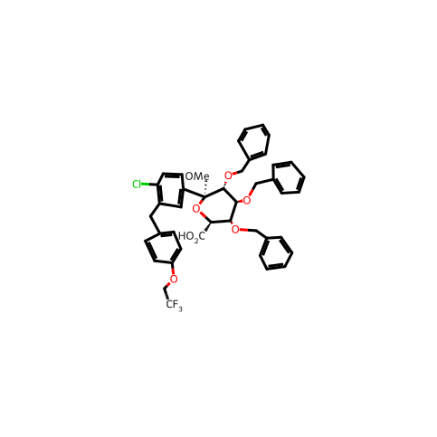 CO[C@@]1(c2ccc(Cl)c(Cc3ccc(OCC(F)(F)F)cc3)c2)O[C@H](C(=O)O)[C@@H](OCc2ccccc2)[C@H](OCc2ccccc2)[C@H]1OCc1ccccc1